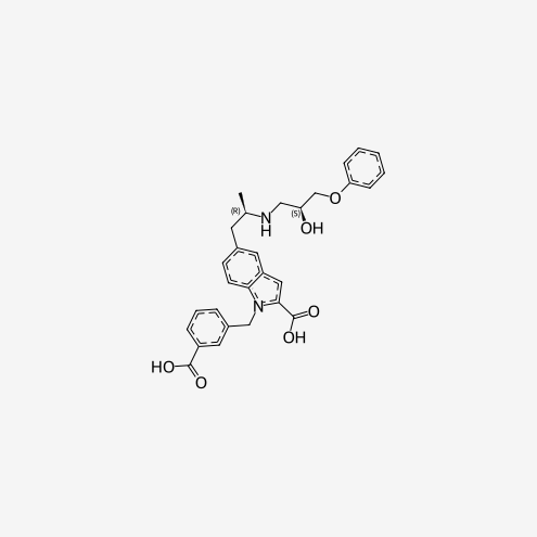 C[C@H](Cc1ccc2c(c1)cc(C(=O)O)n2Cc1cccc(C(=O)O)c1)NC[C@H](O)COc1ccccc1